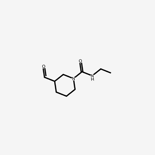 CCNC(=O)N1CCCC(C=O)C1